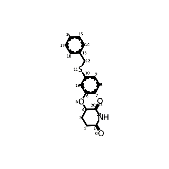 O=C1CCC(Oc2cccc(SCc3ccccc3)c2)C(=O)N1